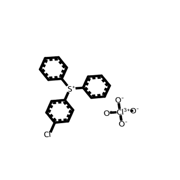 Clc1ccc([S+](c2ccccc2)c2ccccc2)cc1.[O-][Cl+3]([O-])([O-])[O-]